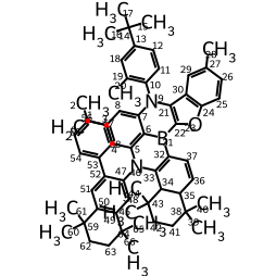 C=C(C)c1cc2c3c(c1)N(c1ccc(C(C)(C)C)cc1C)c1c(oc4ccc(C)cc14)B3C1=C(C3C(C=C1)C(C)(C)CCC3(C)C)N2c1cc2c(cc1-c1ccccc1)C(C)(C)CCC2(C)C